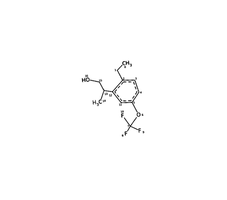 CCc1ccc(OC(F)(F)F)cc1[C](C)CO